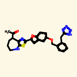 CC(=O)C1CCCNc2sc(-c3cc4cc(OCc5ccccc5Cc5nnn[nH]5)ccc4o3)nc21